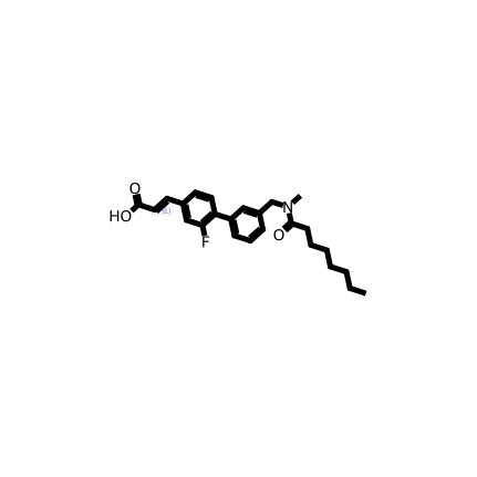 CCCCCCCC(=O)N(C)Cc1cccc(-c2ccc(/C=C/C(=O)O)cc2F)c1